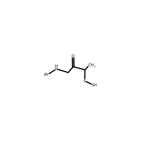 CC(C)NCC(=O)C(C)SS